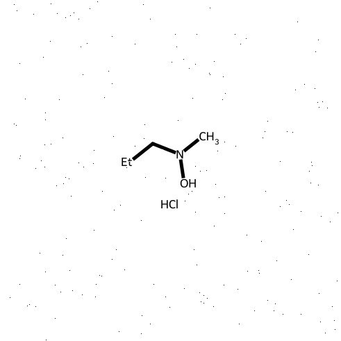 CCCN(C)O.Cl